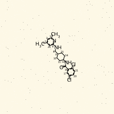 Cc1cc(C)nc(NCC2CCC(NC(=O)c3cc(Cl)ccc3Cl)CC2)c1